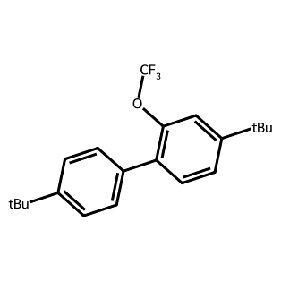 CC(C)(C)c1ccc(-c2ccc(C(C)(C)C)cc2OC(F)(F)F)cc1